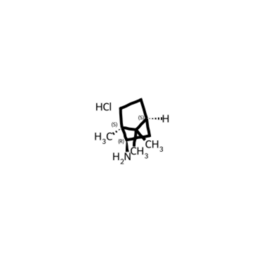 CC1(C)[C@H]2CC[C@]1(C)[C@H](N)C2.Cl